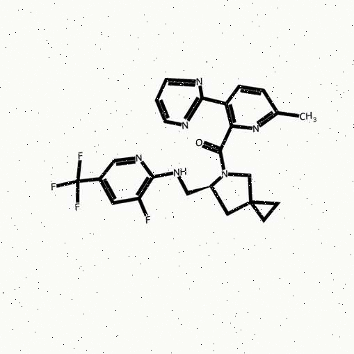 Cc1ccc(-c2ncccn2)c(C(=O)N2CC3(CC3)C[C@H]2CNc2ncc(C(F)(F)F)cc2F)n1